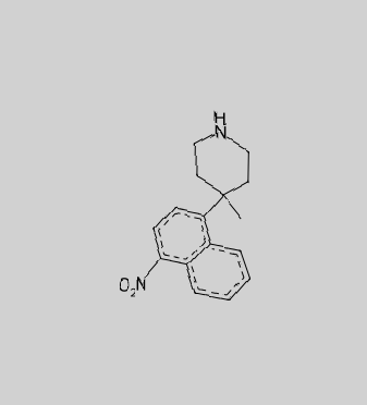 CC1(c2ccc([N+](=O)[O-])c3ccccc23)CCNCC1